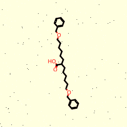 O=C(O)C(CCCCCCOCc1ccccc1)CCCCCCOCc1ccccc1